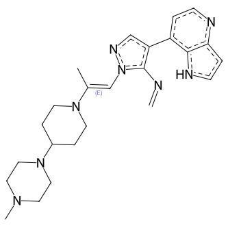 C=Nc1c(-c2ccnc3cc[nH]c23)cnn1/C=C(\C)N1CCC(N2CCN(C)CC2)CC1